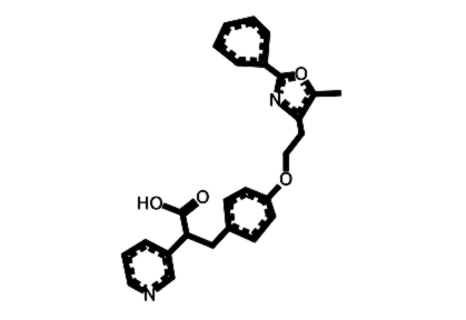 Cc1oc(-c2ccccc2)nc1CCOc1ccc(CC(C(=O)O)c2cccnc2)cc1